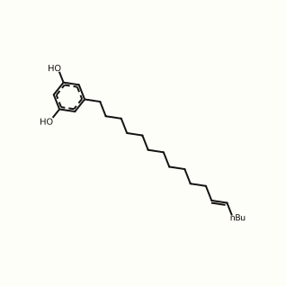 CCCCC=CCCCCCCCCCCCc1cc(O)cc(O)c1